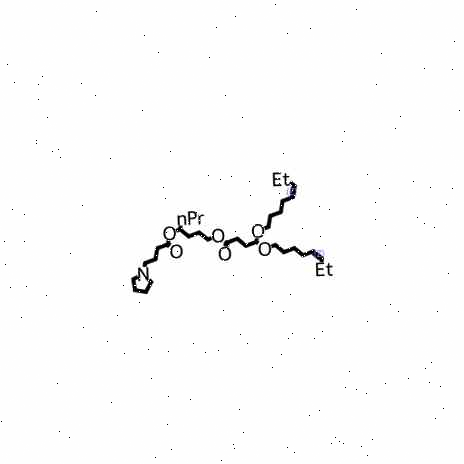 [CH2]CCC(CCCOC(=O)CCC(OCCCC/C=C\CC)OCCCC/C=C\CC)OC(=O)CCCN1CCCC1